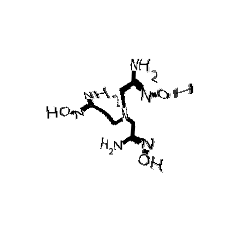 NC(CN(CC(N)=NO)CC(N)=NO)=NO